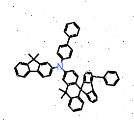 CC1(C)c2ccccc2-c2ccc(N(c3ccc(-c4ccccc4)cc3)c3ccc4c(c3)C(C)(C)c3ccccc3C43c4ccccc4-c4c(-c5ccccc5)cccc43)cc21